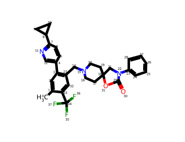 Cc1cc(-c2ccc(C3CC3)nc2)c(CN2CCC3(CC2)CN(c2ccccc2)C(=O)O3)cc1C(F)(F)F